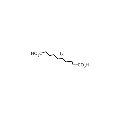 O=C(O)CCCCCCCCC(=O)O.[La]